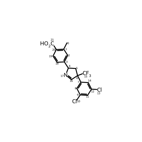 Cc1cc(C2CC(c3cc(Cl)cc(Cl)c3)(C(F)(F)F)C=N2)ccc1C(=O)O